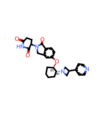 O=C1CCC(N2Cc3cc(O[C@@H]4CCCC[C@H]4N4CC(c5ccncc5)C4)ccc3C2=O)C(=O)N1